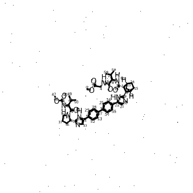 COC(=O)CNC(=O)C(NC(=O)[C@@H]1[C@@H]2CC[C@@H](C2)[C@H]1c1ncc(-c2ccc(-c3ccc(-c4cnc([C@@H]5CCCN5C(=O)C(NC(=O)OC)C(C)C)[nH]4)cc3)cc2)[nH]1)C(C)C